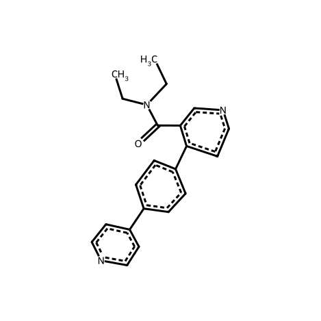 CCN(CC)C(=O)c1cnccc1-c1ccc(-c2ccncc2)cc1